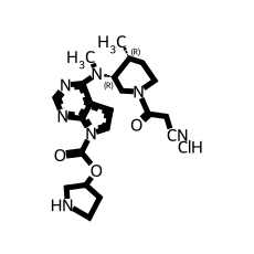 C[C@@H]1CCN(C(=O)CC#N)C[C@@H]1N(C)c1ncnc2c1ccn2C(=O)OC1CCNC1.Cl